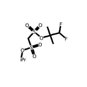 CC(C)OS(=O)(=O)CS(=O)(=O)OC(C)(C)C(F)F